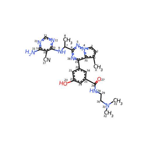 Cc1ccn2nc(C(C)Nc3ncnc(N)c3C#N)nc(-c3cc(O)cc(C(=O)NCCN(C)C)c3)c12